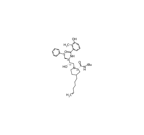 C=CCCCCC1CCN(C[C@H](O)[C@@H](CSc2ccccc2)NC(=O)c2cccc(O)c2C)[C@H](C(=O)NC(C)(C)C)C1